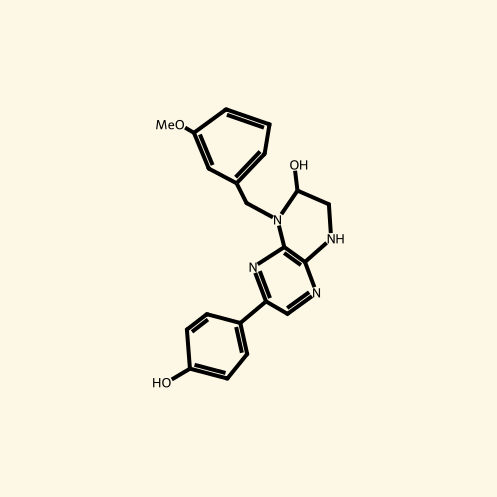 COc1cccc(CN2c3nc(-c4ccc(O)cc4)cnc3NCC2O)c1